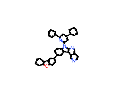 c1ccc(-c2cc(-c3ccccc3)nc(-n3c4ccc(-c5ccc6oc7ccccc7c6c5)cc4c4c5cnccc5cnc43)c2)cc1